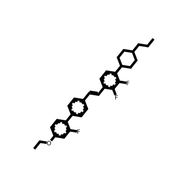 CCCC1CCC(c2ccc(/C=C/c3ccc(-c4ccc(OCC)cc4F)cc3)c(F)c2F)CC1